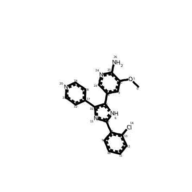 COc1cc(-c2[nH]c(-c3ccccc3Cl)nc2-c2ccncc2)cnc1N